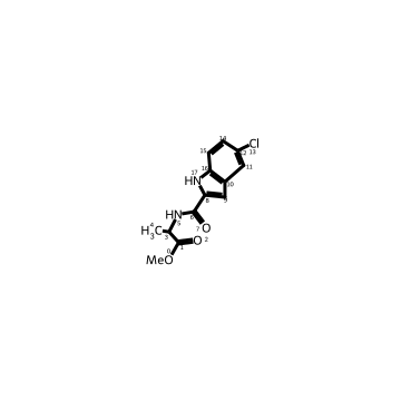 COC(=O)C(C)NC(=O)c1cc2cc(Cl)ccc2[nH]1